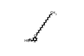 CCCCCCCCC=CCCCCCCCCOc1cccc(C=NO)c1